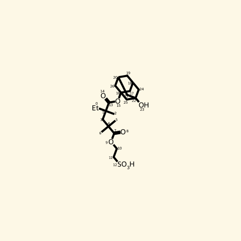 CCC(C)(CC(C)(C)C(=O)OCCS(=O)(=O)O)C(=O)OC12CC3CC(CC(O)(C3)C1)C2